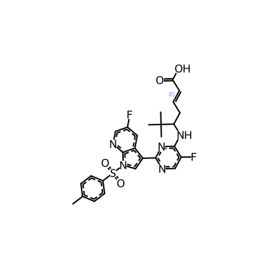 Cc1ccc(S(=O)(=O)n2cc(-c3ncc(F)c(NC(C/C=C/C(=O)O)C(C)(C)C)n3)c3cc(F)cnc32)cc1